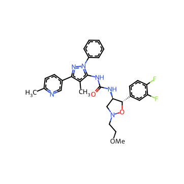 COCCN1C[C@@H](NC(=O)Nc2c(C)c(-c3ccc(C)nc3)nn2-c2ccccc2)[C@H](c2ccc(F)c(F)c2)O1